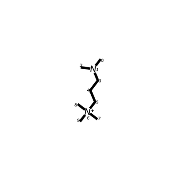 CN(C)C[CH]C[N+](C)(C)C